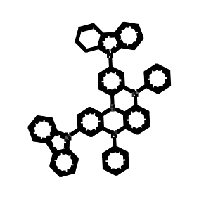 C1=Cc2c(n(-c3ccc4c(c3)N(c3ccccc3)c3cccc5c3B4c3ccc(-n4c6ccccc6c6ccccc64)cc3N5c3ccccc3)c3ccccc23)CC1